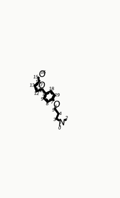 CN(C)CCCOc1ccc(-c2ccc(C=O)o2)cc1